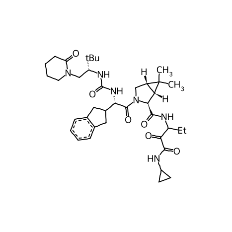 CCC(NC(=O)[C@@H]1[C@@H]2[C@H](CN1C(=O)[C@@H](NC(=O)N[C@H](CN1CCCCC1=O)C(C)(C)C)C1Cc3ccccc3C1)C2(C)C)C(=O)C(=O)NC1CC1